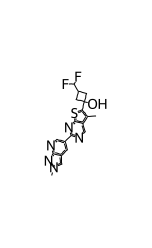 Cc1c(C2(O)CC(C(F)F)C2)sc2nc(-c3cnc4nn(C)cc4c3)ncc12